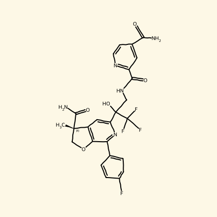 C[C@]1(C(N)=O)COc2c1cc(C(O)(CNC(=O)c1cc(C(N)=O)ccn1)C(F)(F)F)nc2-c1ccc(F)cc1